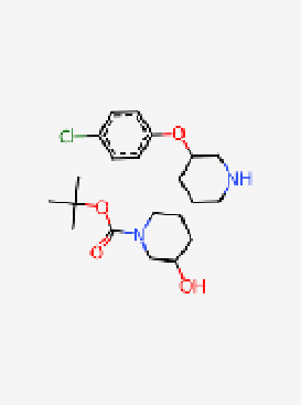 CC(C)(C)OC(=O)N1CCCC(O)C1.Clc1ccc(OC2CCCNC2)cc1